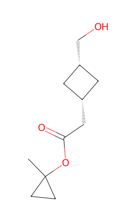 CC1(OC(=O)C[C@H]2C[C@@H](CO)C2)CC1